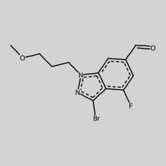 COCCCn1nc(Br)c2c(F)cc(C=O)cc21